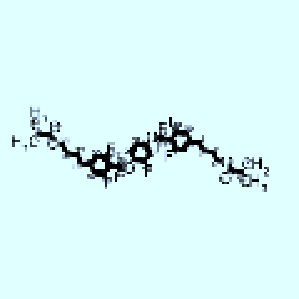 C=C(C)C(=O)OCCCCc1cc(F)c(C(F)(F)Oc2ccc(OC(F)(F)c3c(F)cc(CCCCOC(=O)C(=C)C)cc3F)c(F)c2)c(F)c1